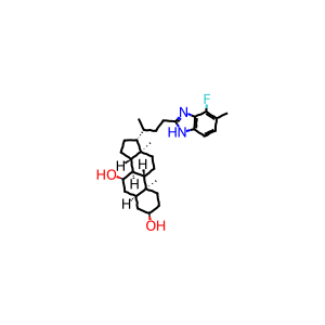 Cc1ccc2[nH]c(CCC(C)[C@H]3CC[C@H]4[C@@H]5[C@H](O)C[C@@H]6C[C@H](O)CC[C@]6(C)[C@H]5CC[C@]34C)nc2c1F